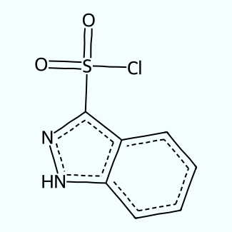 O=S(=O)(Cl)c1n[nH]c2ccccc12